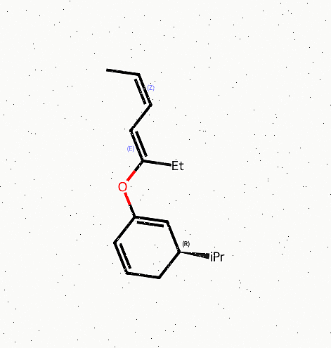 C/C=C\C=C(/CC)OC1=C[C@@H](C(C)C)CC=C1